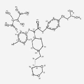 CC(C)COc1ccc(CC(=O)N(Cc2ccc(F)cc2)C2CCN(CC[C@H]3CCOCO3)CC2)cc1.O=C(O)C(O)C(O)C(=O)O